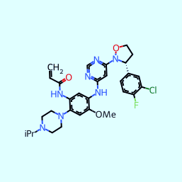 C=CC(=O)Nc1cc(Nc2cc(N3OCC[C@@H]3c3ccc(F)c(Cl)c3)ncn2)c(OC)cc1N1CCN(C(C)C)CC1